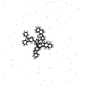 c1ccc(-n2c3ccccc3c3cc(-c4nc(-c5ccc6c(c5)sc5ccccc56)nc(-c5c(-n6c7ccccc7c7cc8ccccc8cc76)ccc6c5oc5c7ccccc7ccc65)n4)ccc32)cc1